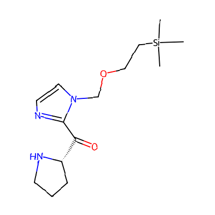 C[Si](C)(C)CCOCn1ccnc1C(=O)[C@@H]1CCCN1